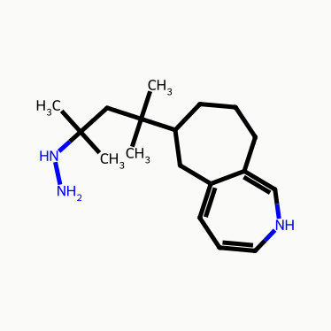 CC(C)(CC(C)(C)C1CCCC2=CNC=CC=C2C1)NN